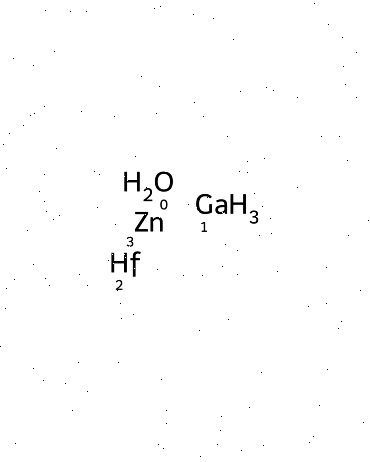 O.[GaH3].[Hf].[Zn]